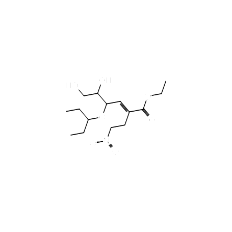 CCOC(=O)C(=CC(OC(CC)CC)C(O)CO)CC[N+](=O)[O-]